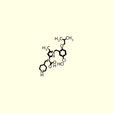 Cc1cc(N(CC2CCNCC2)C(=O)O)nn1Cc1cc(Cl)ccc1OCC(C)C.Cl